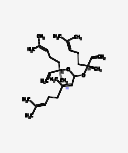 C=C[C@@](C)(CCC=C(C)C)OC(/C=C(\C)CCC=C(C)C)O[C@@](C)(C=C)CCC=C(C)C